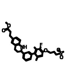 COC(=O)CCc1ccc2c(c1)CCC(c1cccc(-c3c(C)cc(OCCCS(C)(=O)=O)c(F)c3C)c1)N2